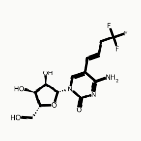 Nc1nc(=O)n([C@@H]2O[C@H](CO)[C@@H](O)[C@H]2O)cc1C=CCC(F)(F)F